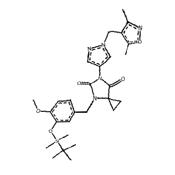 COc1ccc(CN2C(=O)N(c3cnn(Cc4c(C)noc4C)c3)C(=O)C23CC3)cc1O[Si](C)(C)C(C)(C)C